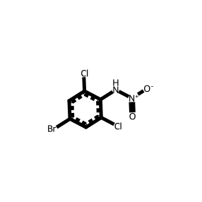 O=[N+]([O-])Nc1c(Cl)cc(Br)cc1Cl